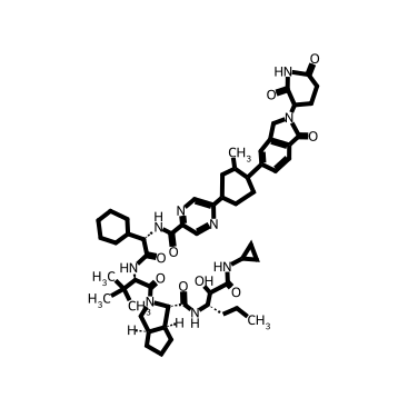 CCC[C@H](NC(=O)[C@@H]1[C@H]2CCC[C@H]2CN1C(=O)[C@@H](NC(=O)[C@@H](NC(=O)c1cnc(C2CCC(c3ccc4c(c3)CN(C3CCC(=O)NC3=O)C4=O)C(C)C2)cn1)C1CCCCC1)C(C)(C)C)C(O)C(=O)NC1CC1